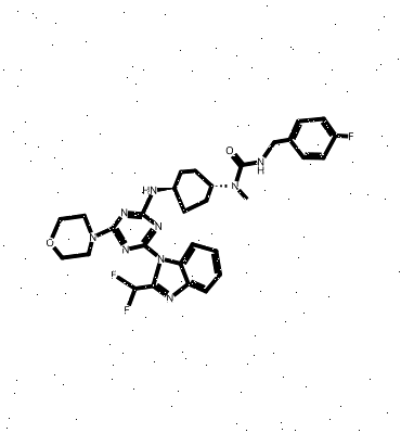 CN(C(=O)NCc1ccc(F)cc1)[C@H]1CC[C@H](Nc2nc(N3CCOCC3)nc(-n3c(C(F)F)nc4ccccc43)n2)CC1